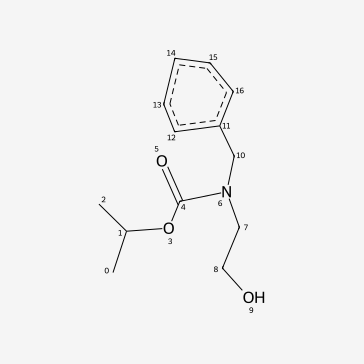 CC(C)OC(=O)N(CCO)Cc1ccccc1